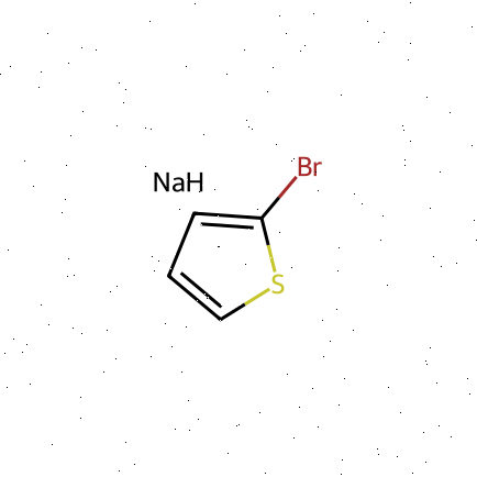 Brc1cccs1.[NaH]